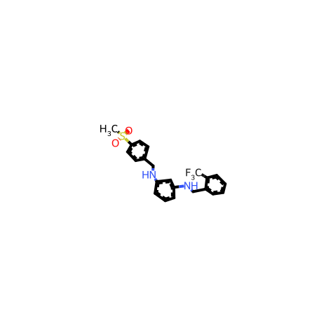 CS(=O)(=O)c1ccc(CNc2cccc(NCc3ccccc3C(F)(F)F)c2)cc1